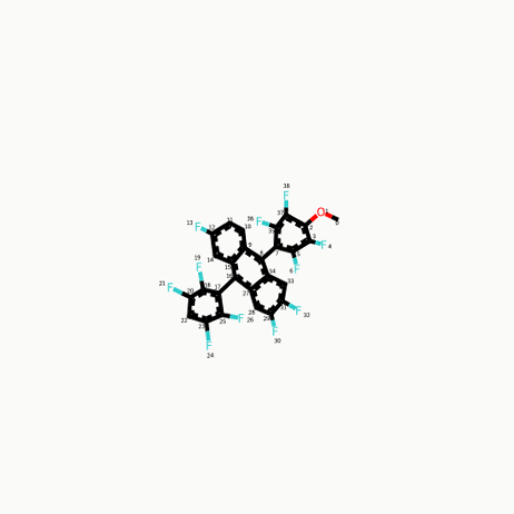 COc1c(F)c(F)c(-c2c3ccc(F)cc3c(-c3c(F)c(F)cc(F)c3F)c3cc(F)c(F)cc23)c(F)c1F